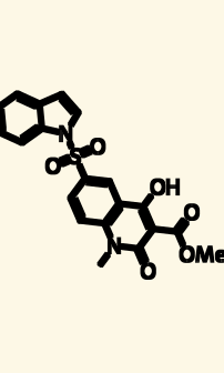 COC(=O)c1c(O)c2cc(S(=O)(=O)n3ccc4ccccc43)ccc2n(C)c1=O